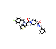 O=C(NCc1ccccc1)C1CCN(C(=O)c2cc3sccc3n2Cc2ccc(F)cc2)CC1